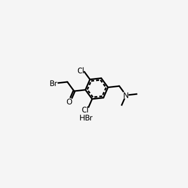 Br.CN(C)Cc1cc(Cl)c(C(=O)CBr)c(Cl)c1